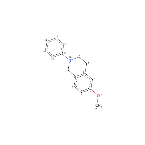 COc1ccc2c(c1)CCN(c1ccccc1)C2